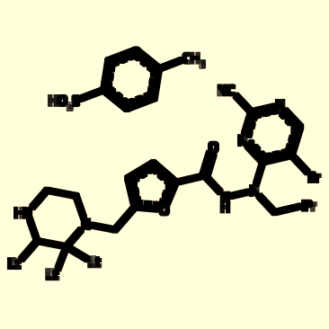 CCC1NCCN(Cc2ccc(C(=O)NN(CC(C)C)c3nc(C#N)ncc3Br)o2)C1(CC)CC.Cc1ccc(S(=O)(=O)O)cc1